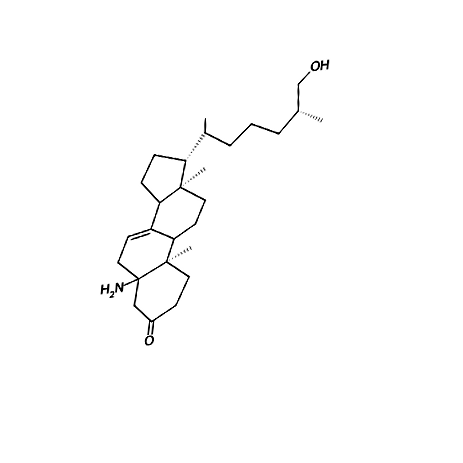 CC(CCC[C@@H](C)CO)[C@H]1CCC2C3=CCC4(N)CC(=O)CC[C@]4(C)C3CC[C@@]21C